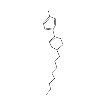 CCCCCCCCC1CC=C(c2ccc(C)cc2)CC1